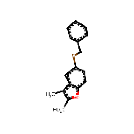 Cc1c(C(=O)O)oc2ccc(SCc3ccccc3)cc12